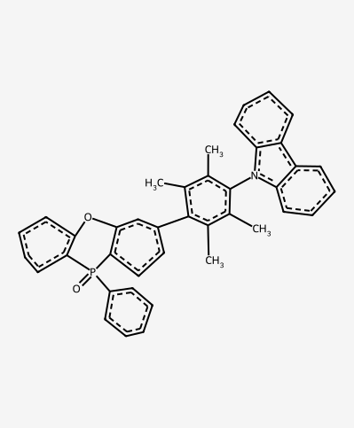 Cc1c(C)c(-n2c3ccccc3c3ccccc32)c(C)c(C)c1-c1ccc2c(c1)Oc1ccccc1P2(=O)c1ccccc1